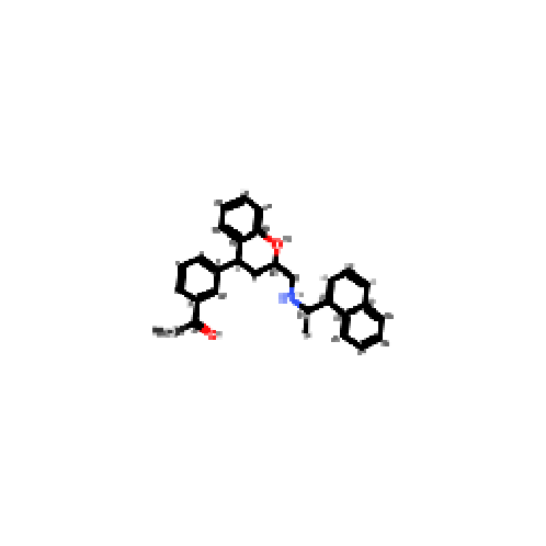 COC(=O)c1cccc(C2CC(CN[C@H](C)c3cccc4ccccc34)Oc3ccccc32)c1